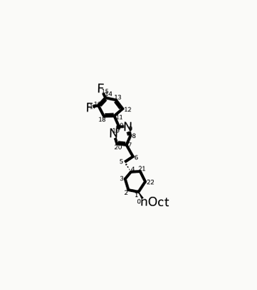 CCCCCCCC[C@H]1CC[C@H](CCc2cnc(-c3ccc(F)c(F)c3)nc2)CC1